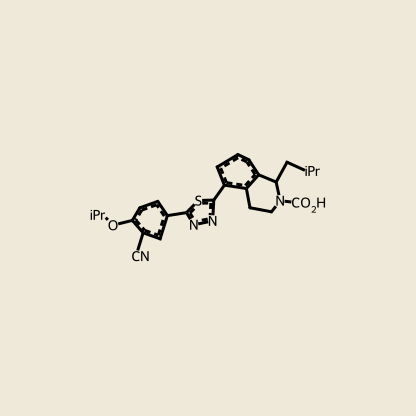 CC(C)CC1c2cccc(-c3nnc(-c4ccc(OC(C)C)c(C#N)c4)s3)c2CCN1C(=O)O